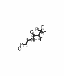 O=PCCNC(=O)C(F)C(F)(F)F